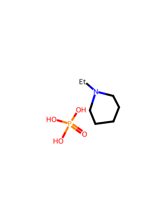 CCN1CCCCC1.O=P(O)(O)O